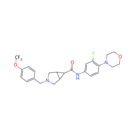 O=C(Nc1ccc(N2CCOCC2)c(F)c1)C1C2CN(Cc3ccc(OC(F)(F)F)cc3)CC21